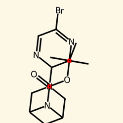 CC(C)(C)OC(=O)N1C2CC1CN(C1CN=C(Br)C=N1)C2